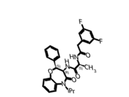 CC(C)N1C(=O)[C@H](NC(=O)[C@H](C)NC(=O)Cc2cc(F)cc(F)c2)[C@H](c2ccccc2)Oc2ccccc21